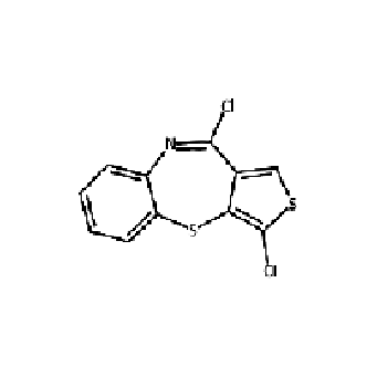 ClC1=Nc2ccccc2Sc2c1csc2Cl